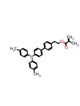 C=C(C)C(=O)OCCc1ccc(-c2ccc(N(c3ccc(C)cc3)c3ccc(C)cc3)cc2)cc1